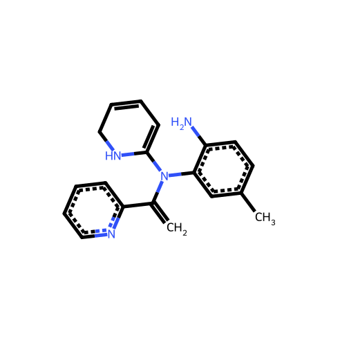 C=C(c1ccccn1)N(C1=CC=CCN1)c1cc(C)ccc1N